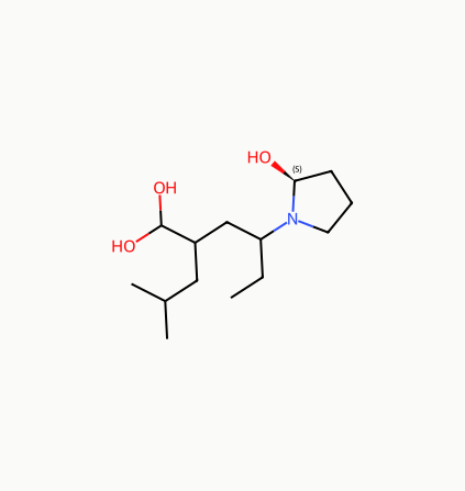 CCC(CC(CC(C)C)C(O)O)N1CCC[C@@H]1O